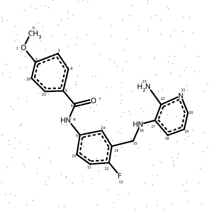 COc1ccc(C(=O)Nc2ccc(F)c(CNc3cccnc3N)c2)cc1